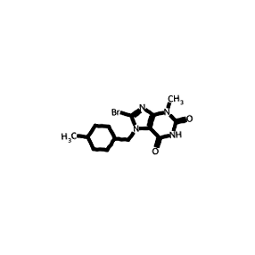 CC1CCC(Cn2c(Br)nc3c2c(=O)[nH]c(=O)n3C)CC1